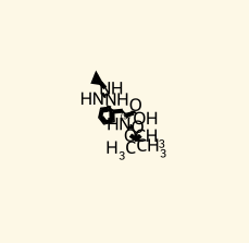 CC(C)(C)OC(=O)N[C@@H](Cc1ccccc1NC(=N)NC1CC1)C(=O)O